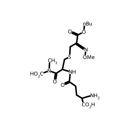 CCCCOC(=O)C(CSCC(NC(=O)CCC(N)C(=O)O)C(=O)N(C)C(=O)O)=NOC